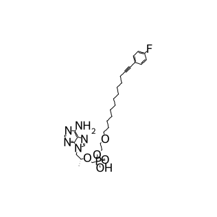 C[C@H](Cn1cnc2c(N)ncnc21)OCP(=O)(O)OCCOCCCCCCCCCCCC#Cc1ccc(F)cc1